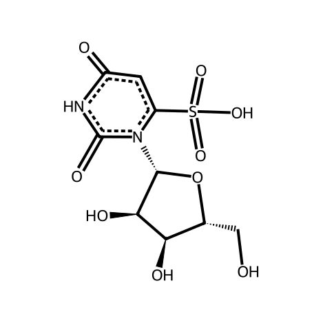 O=c1cc(S(=O)(=O)O)n([C@@H]2O[C@H](CO)[C@@H](O)[C@H]2O)c(=O)[nH]1